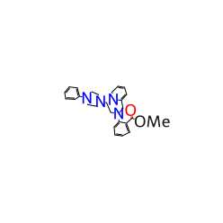 COC(=O)c1ccccc1N(CCN1CCN(c2ccccc2)CC1)Cc1ccccn1